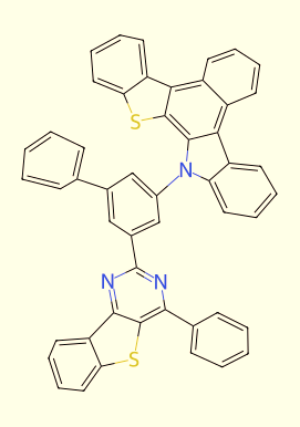 c1ccc(-c2cc(-c3nc(-c4ccccc4)c4sc5ccccc5c4n3)cc(-n3c4ccccc4c4c5ccccc5c5c6ccccc6sc5c43)c2)cc1